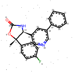 C[C@@]1(c2ccc(F)cc2)OC(=O)N[C@H]1c1cncc(-c2ccccc2)c1